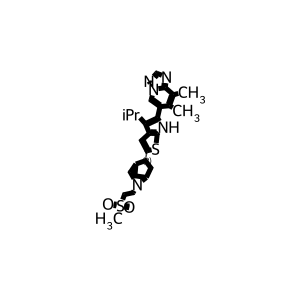 Cc1c(-c2[nH]c3sc([C@@H]4CC5CC4CN5CCS(C)(=O)=O)cc3c2C(C)C)cn2ncnc2c1C